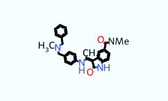 CNC(=O)c1ccc2c(c1)/C(=C(\C)Nc1ccc(CN(C)Cc3ccccc3)cc1)C(=O)N2